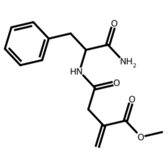 C=C(CC(=O)NC(Cc1ccccc1)C(N)=O)C(=O)OC